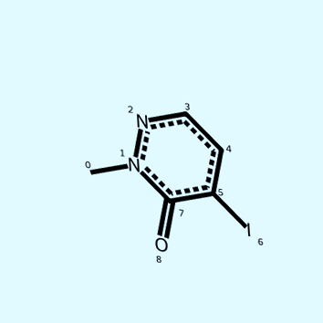 Cn1nccc(I)c1=O